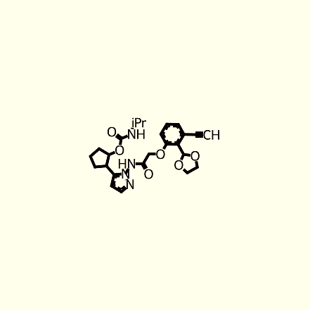 C#Cc1cccc(OCC(=O)Nn2nccc2C2CCCC2OC(=O)NC(C)C)c1C1OCCO1